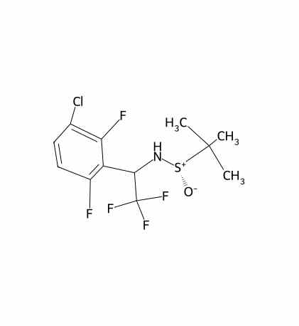 CC(C)(C)[S@+]([O-])NC(c1c(F)ccc(Cl)c1F)C(F)(F)F